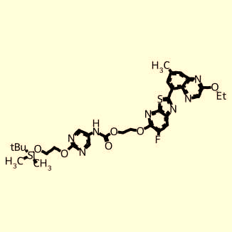 CCOc1cnc2c(-c3nc4cc(F)c(OCCOC(=O)Nc5cnc(OCCO[Si](C)(C)C(C)(C)C)nc5)nc4s3)cc(C)cc2n1